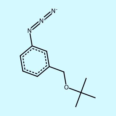 CC(C)(C)OCc1cccc(N=[N+]=[N-])c1